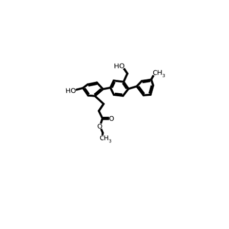 CCOC(=O)CCc1cc(O)ccc1-c1ccc(-c2cccc(C)c2)c(CO)c1